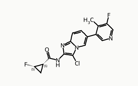 Cc1c(F)cncc1-c1ccc2nc(NC(=O)[C@@H]3C[C@@H]3F)c(Cl)n2c1